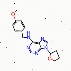 COc1ccc(CNc2ncnc3c2ncn3C2CCCO2)cc1